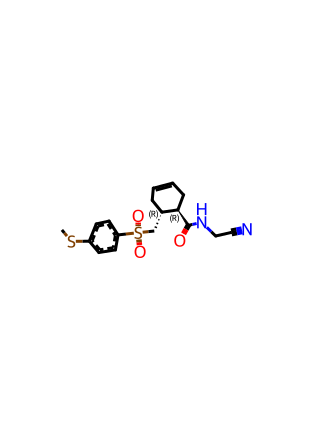 CSc1ccc(S(=O)(=O)C[C@@H]2CC=CC[C@H]2C(=O)NCC#N)cc1